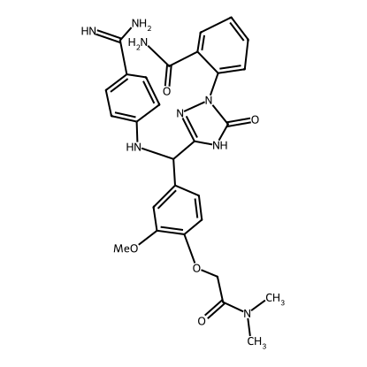 COc1cc(C(Nc2ccc(C(=N)N)cc2)c2nn(-c3ccccc3C(N)=O)c(=O)[nH]2)ccc1OCC(=O)N(C)C